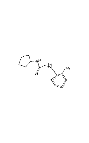 CSc1ccccc1NC(=O)NC1CCCC1